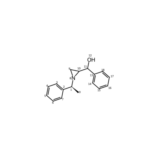 C[C@@H](c1ccccc1)N1CC1C(O)c1ccccc1